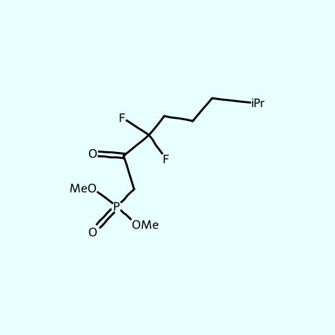 COP(=O)(CC(=O)C(F)(F)CCCC(C)C)OC